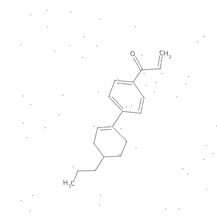 C=CC(=O)c1ccc(C2=CCC(CCC)CC2)cc1